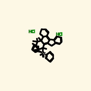 Cl.Cl.[CH2]=[Zr]([CH3])([C]1=CC=CC1)([c]1ccccc1)[C]1(C)C2=C3Cc4ccccc4C3=C3C=CCCC3C2(C)C(C)(C)C(C)(C)C1(C)C